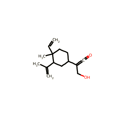 C=CC1(C)CCC(C(=C=O)CO)CC1C(=C)C